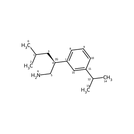 CC(C)C[C@H](CN)c1cccc(C(C)C)c1